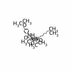 CC(C)CCCCCC(=O)N[C@H](C(=O)N[C@@H](C)C(=O)Nc1ccc(COC(C)C)cc1)C(C)C